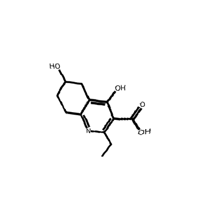 CCc1nc2c(c(O)c1C(=O)O)CC(O)CC2